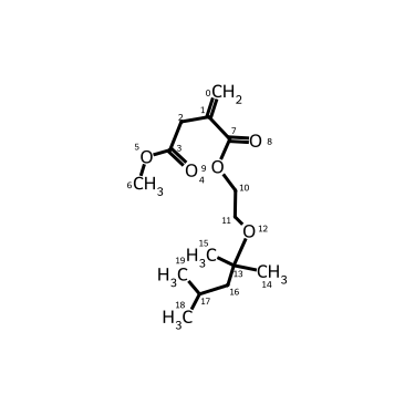 C=C(CC(=O)OC)C(=O)OCCOC(C)(C)CC(C)C